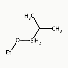 CCO[SiH2]C(C)C